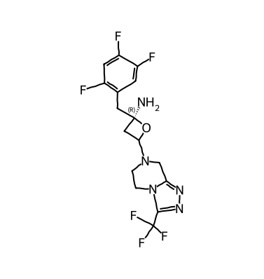 N[C@@]1(Cc2cc(F)c(F)cc2F)CC(N2CCn3c(nnc3C(F)(F)F)C2)O1